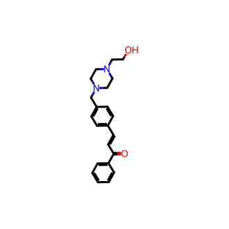 O=C(C=Cc1ccc(CN2CCN(CCO)CC2)cc1)c1ccccc1